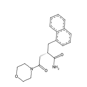 NC(=O)[C@H](CC(=O)N1CCOCC1)Cc1cccc2ccccc12